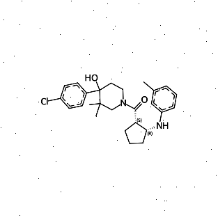 Cc1cccc(N[C@@H]2CCC[C@@H]2C(=O)N2CCC(O)(c3ccc(Cl)cc3)C(C)(C)C2)c1